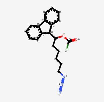 [N-]=[N+]=NCCCCCC(OC(=O)Cl)C1c2ccccc2-c2ccccc21